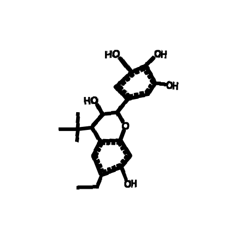 CCc1cc2c(cc1O)OC(c1cc(O)c(O)c(O)c1)C(O)C2C(C)(C)C